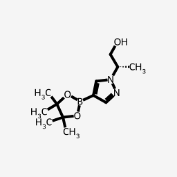 C[C@@H](CO)n1cc(B2OC(C)(C)C(C)(C)O2)cn1